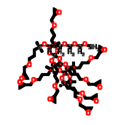 C[Si](C)(CCCOCC1CO1)O[SiH](O[SiH2]O[SiH2]O[SiH2]O[SiH3])O[Si](O[Si](C)(C)CCCOCC1CO1)(O[Si](C)(C)CCCOCC1CO1)O[Si](O[Si](C)(C)CCCOCC1CO1)(O[Si](C)(C)CCCOCC1CO1)O[Si](O[Si](C)(C)CCCOCC1CO1)(O[Si](C)(C)CCCOCC1CO1)O[Si](C)(C)CCCOCC1CO1